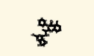 Cc1cccc2nc(C(C)Nc3nc(F)nc4[nH]cnc34)n(-c3ccccc3)c(=O)c12